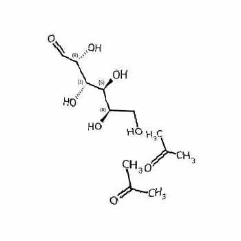 CC(C)=O.CC(C)=O.O=C[C@H](O)[C@@H](O)[C@@H](O)[C@H](O)CO